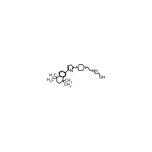 CC1(C)CCC(C)(C)c2cc(C3=CCC(N4CCN(CCNCCO)CC4)=N3)ccc21